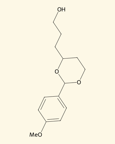 COc1ccc(C2OCCC(CCCO)O2)cc1